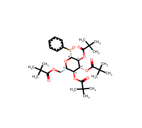 CC(C)(C)C(=O)OC[C@@H]1O[C@H]([S+]([O-])c2ccccc2)[C@@H](OC(=O)C(C)(C)C)[C@H](OC(=O)C(C)(C)C)[C@H]1OC(=O)C(C)(C)C